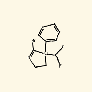 FC(F)[N+]1(c2ccccc2)CCN=C1Br